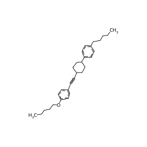 CCCCCOc1ccc(C#CC2CCC(c3ccc(CCCCC)cc3)CC2)cc1